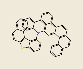 c1ccc(-c2ccccc2N(c2ccc3ccc4ccc5ccccc5c4c3c2)c2cccc3sc4ccc5ccccc5c4c23)cc1